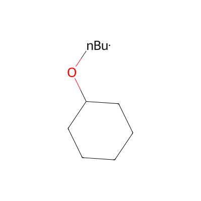 CCC[CH]OC1CCCCC1